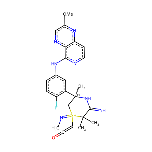 CN=[SH]1(C=C=O)C[C@@](C)(c2cc(Nc3nccc4nc(OC)cnc34)ccc2F)NC(=N)C1(C)C